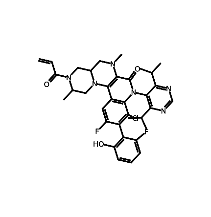 C=CC(=O)N1CC2CN(C)c3c(c4cc(F)c(-c5c(O)cccc5F)c(Cl)c4n(-c4c(C(C)C)ncnc4C(C)C)c3=O)N2CC1C